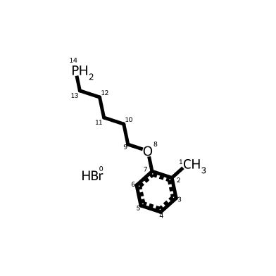 Br.Cc1ccccc1OCCCCCP